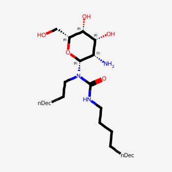 CCCCCCCCCCCCCCNC(=O)N(CCCCCCCCCCCC)[C@@H]1O[C@H](CO)[C@H](O)[C@H](O)[C@@H]1N